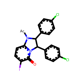 CC(=O)N1c2ccc(I)c(=O)n2C(c2ccc(Cl)cc2)C1c1ccc(Cl)cc1